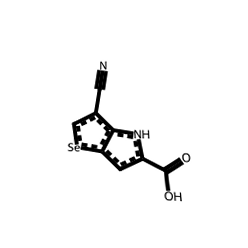 N#Cc1c[se]c2cc(C(=O)O)[nH]c12